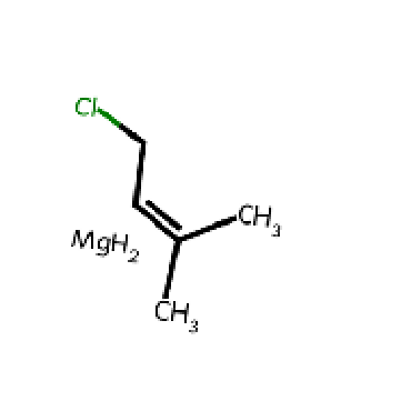 CC(C)=CCCl.[MgH2]